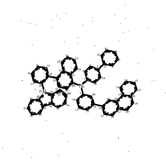 c1ccc(-c2ccc(N(c3cccc(-c4ccc5ccc6ccccc6c5c4)c3)c3ccc(-c4ccccc4-n4c5ccccc5c5ccccc54)c4ccccc34)cc2)cc1